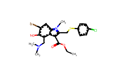 CCOC(=O)c1c(CSc2ccc(Cl)cc2)n(C)c2cc(Br)c(O)c(CN(C)C)c12